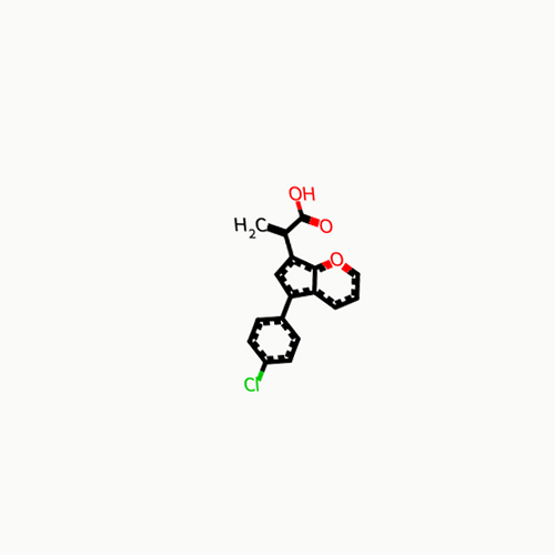 C=C(C(=O)O)c1cc(-c2ccc(Cl)cc2)c2cccoc1-2